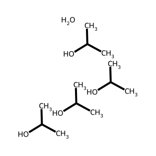 CC(C)O.CC(C)O.CC(C)O.CC(C)O.O